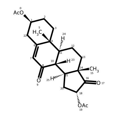 CC(=O)O[C@H]1CC[C@@]2(C)C(=CC(=O)[C@@H]3[C@@H]2CC[C@]2(C)C(=O)[C@H](OC(C)=O)C[C@@H]32)C1